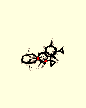 O=C(NC1CC1)c1ccc(N2[C@@H]3CC[C@H]2C[C@@H](NC(=O)C2(c4ccc(Cl)cc4)CC2)C3)c(F)c1